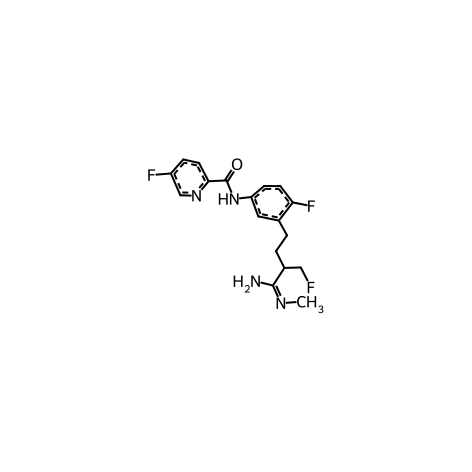 C/N=C(/N)C(CF)CCc1cc(NC(=O)c2ccc(F)cn2)ccc1F